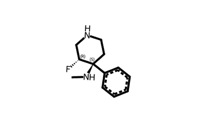 CN[C@]1(c2ccccc2)CCNC[C@H]1F